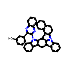 N#Cc1cccc(-c2nc3ccccc3nc2-n2c3ccccc3c3cc4c5ccccc5n5c6ccc7ccccc7c6c(c32)c45)c1